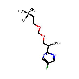 COC(COCOCC[Si](C)(C)C)c1ncc(F)cn1